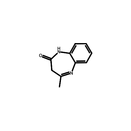 CC1=Nc2ccccc2NC(=O)C1